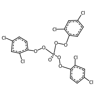 O=P(OOc1ccc(Cl)cc1Cl)(OOc1ccc(Cl)cc1Cl)OOc1ccc(Cl)cc1Cl